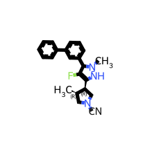 C[C@H]1CN(C#N)C[C@@H]1C1=C(F)C(c2cccc(-c3ccccc3)c2)N(C)N1